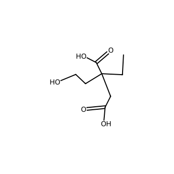 CCC(CCO)(CC(=O)O)C(=O)O